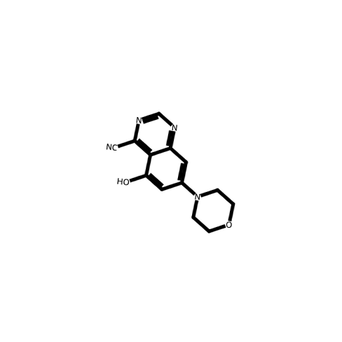 N#Cc1ncnc2cc(N3CCOCC3)cc(O)c12